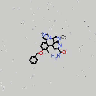 CCn1cc(-n2ccnc2)c2c(-c3c(C)ccc(OCc4ccccc4)c3C)cc(C(N)=O)nc21